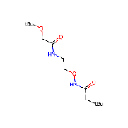 CC(C)(C)CC(=O)NOCCNC(=O)COC(C)(C)C